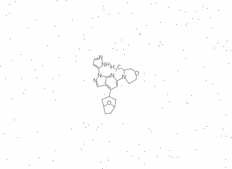 CC1COCCN1c1cc(C2CC3CCC(C2)O3)c2cnn(-c3ccn[nH]3)c2n1